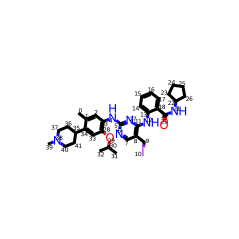 Cc1cc(Nc2ncc(CI)c(Nc3ccccc3C(=O)NC3CCCC3)n2)c(OC(C)C)cc1C1CCN(C)CC1